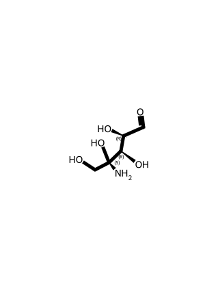 N[C@](O)(CO)[C@H](O)[C@@H](O)C=O